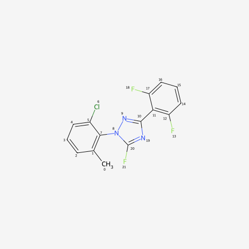 Cc1cccc(Cl)c1-n1nc(-c2c(F)cccc2F)nc1F